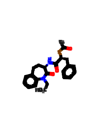 CCC(=O)S[C@@H](Cc1ccccc1)C(=O)N[C@H]1CCc2ccccc2N(CC(=O)O)C1=O